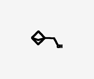 OCC12CC(C1)C2